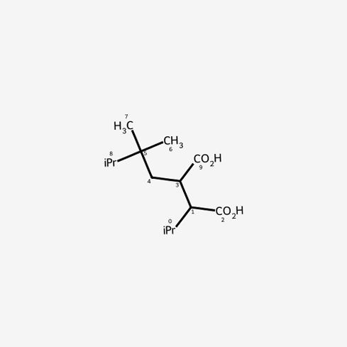 CC(C)C(C(=O)O)C(CC(C)(C)C(C)C)C(=O)O